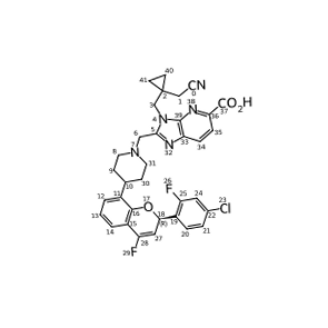 N#CCC1(Cn2c(CN3CCC(c4cccc5c4O[C@@H](c4ccc(Cl)cc4F)C=C5F)CC3)nc3ccc(C(=O)O)nc32)CC1